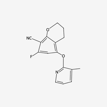 Cc1cccnc1Oc1cc(F)c(C#N)c2c1CCCO2